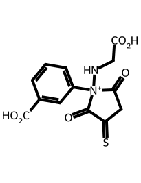 O=C(O)CN[N+]1(c2cccc(C(=O)O)c2)C(=O)CC(=S)C1=O